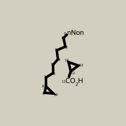 CCCCCCCCCCCCCCCCC1CC1.O=C(O)C1CC1